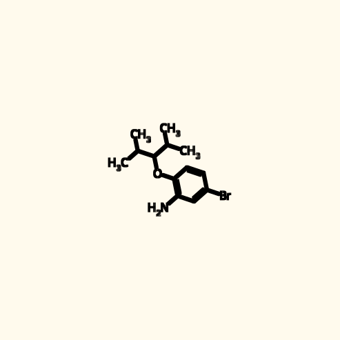 CC(C)C(Oc1ccc(Br)cc1N)C(C)C